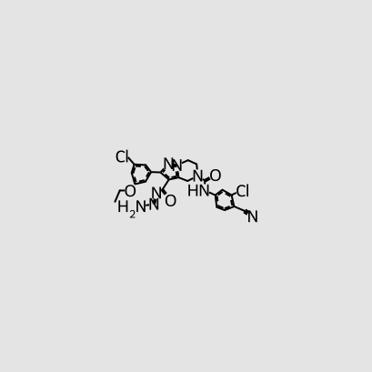 CCOc1cc(Cl)cc(-c2nn3c(c2C(=O)N=NN)CN(C(=O)Nc2ccc(C#N)c(Cl)c2)CC3)c1